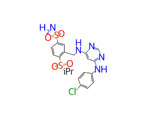 CC(C)S(=O)(=O)c1ccc(S(N)(=O)=O)cc1CNc1cc(Nc2ccc(Cl)cc2)ncn1